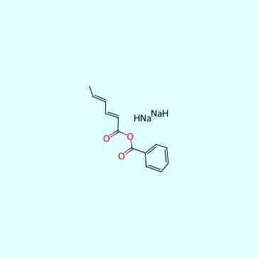 C/C=C/C=C/C(=O)OC(=O)c1ccccc1.[NaH].[NaH]